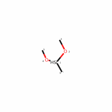 [CH2][SiH](OC)OC